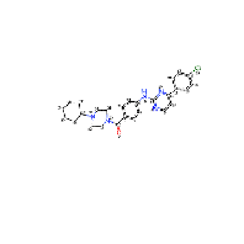 O=C(c1ccc(Nc2nccc(-c3ccc(Cl)cc3)n2)cc1)N1CCN(C2CCCCC2)CC1